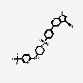 N#Cc1c[nH]c2ncc(-c3ccc(S(=O)(=O)N4CCC(Nc5ccc(C(F)(F)F)cn5)CC4)cc3)cc12